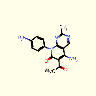 COC(=O)c1c(N)c2cnc(C)nc2n(-c2ccc(N)cc2)c1=O